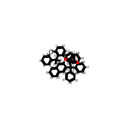 CC1(C)c2ccccc2Oc2cccc(N(c3ccccc3)c3cc4ccccc4cc3C3(c4ccccc4)c4ccccc4-c4ccccc43)c21